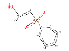 C/C(O)=C\S(=O)(=O)c1ccccc1